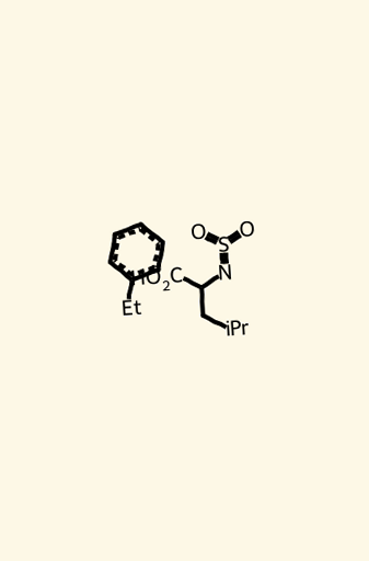 CC(C)CC(N=S(=O)=O)C(=O)O.CCc1ccccc1